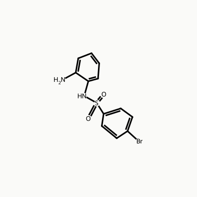 Nc1ccccc1NS(=O)(=O)c1ccc(Br)cc1